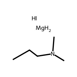 CCCN(C)C.I.[MgH2]